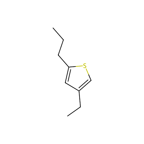 CCCc1cc(CC)cs1